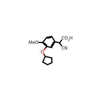 COc1ccc(C(C#N)C(=O)O)cc1OC1CCCC1